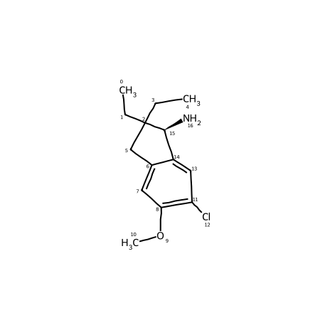 CCC1(CC)Cc2cc(OC)c(Cl)cc2[C@@H]1N